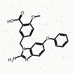 COc1ccc(Cn2c(N)nc3ccc(Oc4ccccc4)cc32)cc1C(=O)O